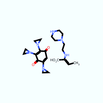 C/C=C(\NCCN1CCNCC1)C(=O)O.O=C1C=C(N2CC2)C(=O)C(N2CC2)=C1N1CC1